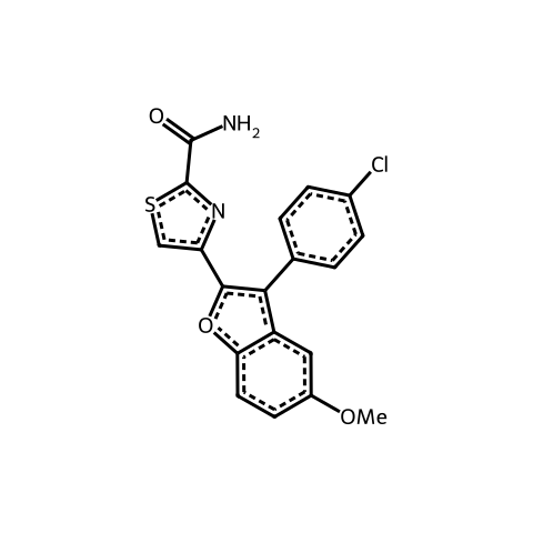 COc1ccc2oc(-c3csc(C(N)=O)n3)c(-c3ccc(Cl)cc3)c2c1